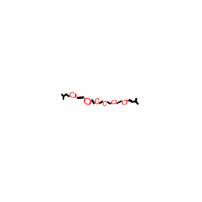 CC(C)CCOCCOCCOCCOCCOCCOCCC(C)C